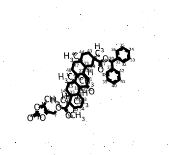 Cc1oc(=O)oc1COC(=O)[C@@]1(C)[C@@H]2CC[C@]3(C)[C@H](C(=O)C=C4[C@@H]5C[C@@](C)(C(=O)OC(c6ccccc6)c6ccccc6)CC[C@]5(C)CC[C@]43C)[C@@]2(C)CC[C@@H]1C